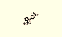 O=C(O)c1ccccc1Oc1ccc([N+](=O)[O-])c(F)c1